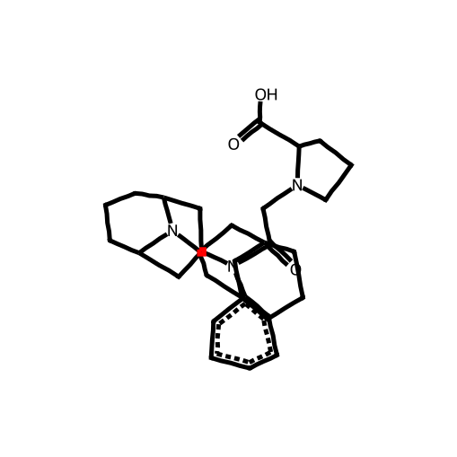 O=C(O)C1CCCN1CC(=O)N(c1ccccc1)C1CC2CCCC(C1)N2C1CC2CCCC(C2)C1